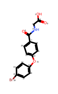 O=C(O)CNC(=O)c1ccc(Oc2ccc(Br)cc2)cc1